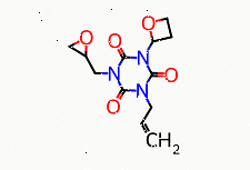 C=CCn1c(=O)n(CC2CO2)c(=O)n(C2CCO2)c1=O